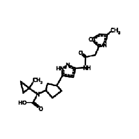 Cc1coc(CC(=O)Nc2cc(C3CCC(N(C(=O)O)C4(C)CC4)C3)[nH]n2)n1